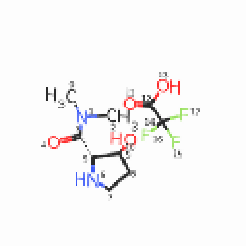 CN(C)C(=O)[C@H]1NCC[C@@H]1O.O=C(O)C(F)(F)F